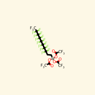 O=C(O[Si](CCC(F)(F)C(F)(F)C(F)(F)C(F)(F)C(F)(F)C(F)(F)C(F)(F)C(F)(F)F)(OC(=O)C(F)(F)F)OC(=O)C(F)(F)F)C(F)(F)F